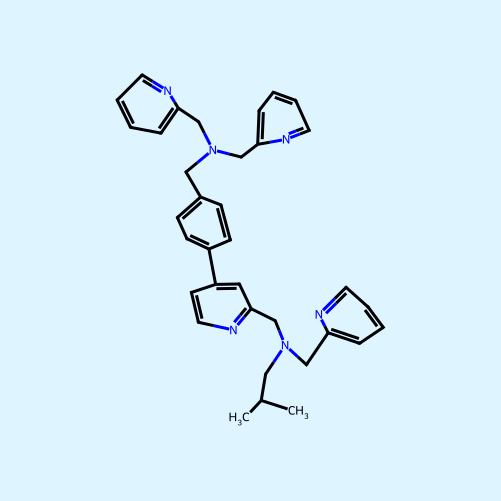 CC(C)CN(Cc1ccccn1)Cc1cc(-c2ccc(CN(Cc3ccccn3)Cc3ccccn3)cc2)ccn1